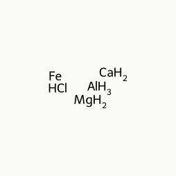 Cl.[AlH3].[CaH2].[Fe].[MgH2]